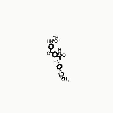 CC(=O)Nc1ccc(C(=O)c2ccc3c(c2)NC(=O)/C3=C/Nc2ccc(N3CCN(C)CC3)cc2)cc1